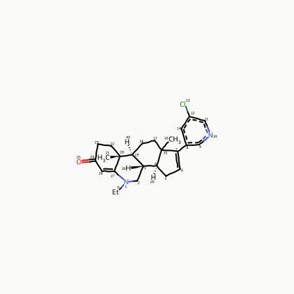 CCN1C[C@H]2[C@@H]3CC=C(c4cncc(Cl)c4)C3(C)CC[C@@H]2[C@@]2(C)CCC(=O)C=C12